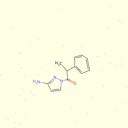 CC(C(=O)n1ccc(N)n1)c1ccccc1